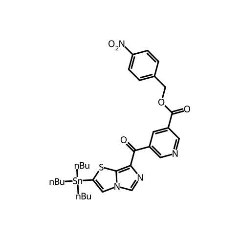 CCC[CH2][Sn]([CH2]CCC)([CH2]CCC)[c]1cn2cnc(C(=O)c3cncc(C(=O)OCc4ccc([N+](=O)[O-])cc4)c3)c2s1